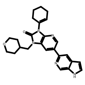 O=c1n(CC2CCOCC2)c2cc(-c3cc4cc[nH]c4cn3)cnc2n1C1=CCCCC1